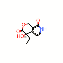 CC[C@]1(O)C(=O)OCc2c1cc[nH]c2=O